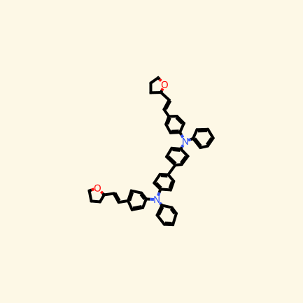 C(=CC1CCCO1)c1ccc(N(c2ccccc2)c2ccc(-c3ccc(N(c4ccccc4)c4ccc(C=CC5CCCO5)cc4)cc3)cc2)cc1